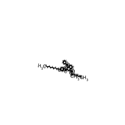 CCCCCCCCCCOc1ccc(OC(=O)C2CC(C(=O)O[C@H](C)CCCCCC)c3ccccc3C2OC(=O)c2ccccc2)cc1